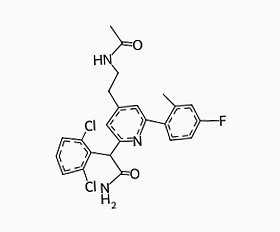 CC(=O)NCCc1cc(-c2ccc(F)cc2C)nc(C(C(N)=O)c2c(Cl)cccc2Cl)c1